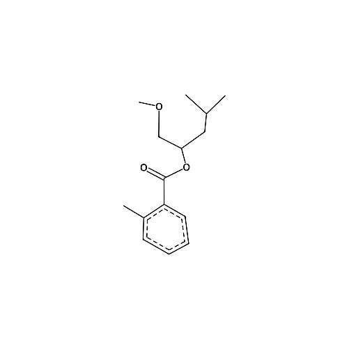 COCC(CC(C)C)OC(=O)c1ccccc1C